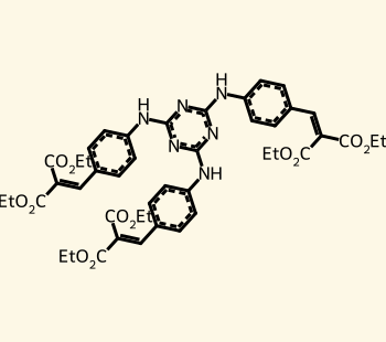 CCOC(=O)C(=Cc1ccc(Nc2nc(Nc3ccc(C=C(C(=O)OCC)C(=O)OCC)cc3)nc(Nc3ccc(C=C(C(=O)OCC)C(=O)OCC)cc3)n2)cc1)C(=O)OCC